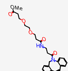 COC(=O)CCOCCOCCC(=O)NCCC(=O)N1Cc2ccccc2C#Cc2ccccc21